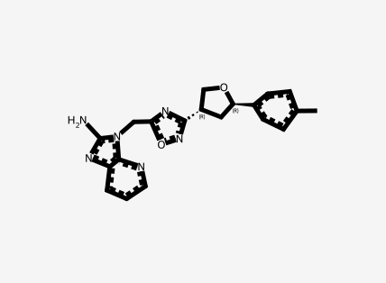 Cc1ccc([C@H]2C[C@H](c3noc(Cn4c(N)nc5cccnc54)n3)CO2)cc1